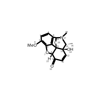 COc1ccc2c3c1O[C@H]1C(=O)C=C[C@@]4(O)[C@@H](C)N(C)C2C[C@]314